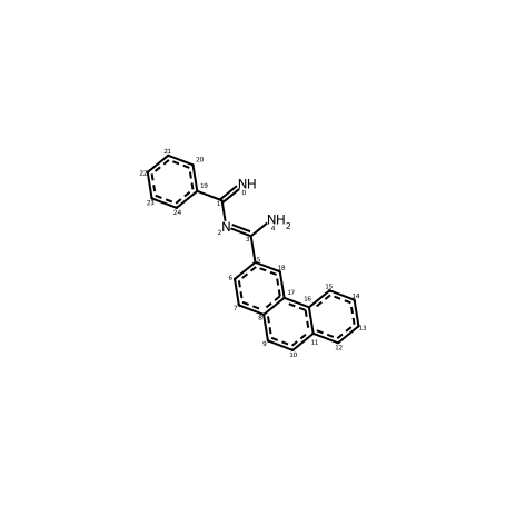 N=C(/N=C(\N)c1ccc2ccc3ccccc3c2c1)c1ccccc1